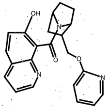 O=C(c1c(O)ccc2cccnc12)N1C2CCC1C(COc1ccccn1)C2